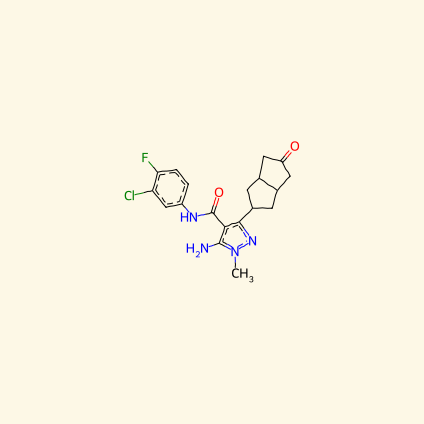 Cn1nc(C2CC3CC(=O)CC3C2)c(C(=O)Nc2ccc(F)c(Cl)c2)c1N